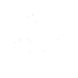 Cc1nnc(-c2ccc3c(nc(CN4CCc5cc(C(F)(F)F)c(OCc6ccc(Cl)cc6)nc5C4)n3C[C@@H]3CCO3)c2F)[nH]1